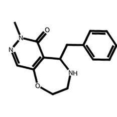 Cn1ncc2c(c1=O)C(Cc1ccccc1)NCCO2